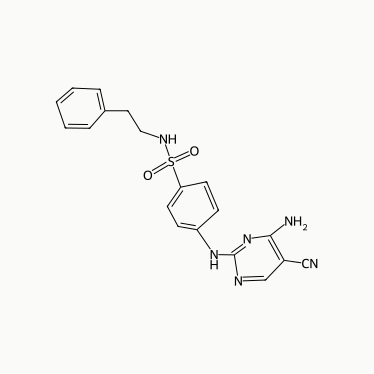 N#Cc1cnc(Nc2ccc(S(=O)(=O)NCCc3ccccc3)cc2)nc1N